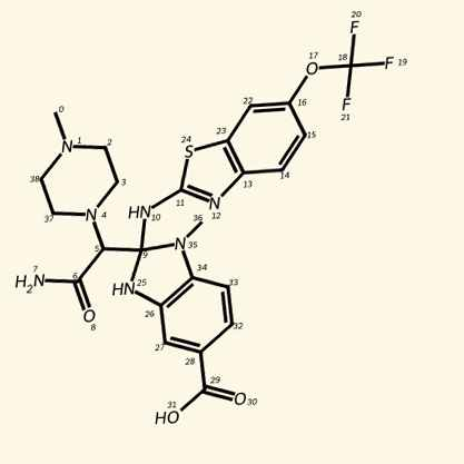 CN1CCN(C(C(N)=O)C2(Nc3nc4ccc(OC(F)(F)F)cc4s3)Nc3cc(C(=O)O)ccc3N2C)CC1